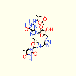 CC[C@@H]1CN(Cc2cn(C[C@H]3O[C@@H](n4cnc5c(=O)[nH]c(NC(=O)C(C)C)nc54)[C@@H](OCCOC)C3O)nn2)C[C@H](n2cc(C)c(=O)[nH]c2=O)O1